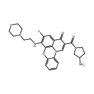 NC1CCN(C(=O)c2cn3c4c(c(NCCN5CCOCC5)c(F)cc4c2=O)Oc2ccccc2-3)C1